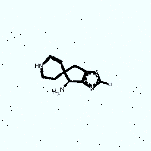 N[C@@H]1c2nc(Cl)sc2CC12CCNCC2